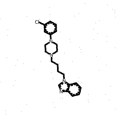 Clc1cccc(N2CCN(CCCCn3cnc4ccccc43)CC2)c1